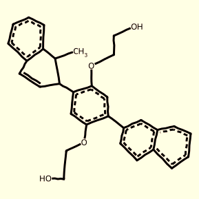 CC1c2ccccc2C=CC1c1cc(OCCO)c(-c2ccc3ccccc3c2)cc1OCCO